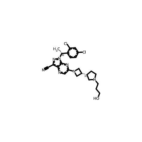 C[C@H](c1ccc(Cl)cc1Cl)n1nc(C#N)c2ncc(N3CC([C@@H]4CCN(CCCO)C4)C3)nc21